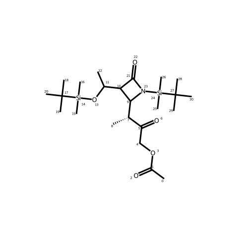 CC(=O)OCC(=O)[C@H](C)C1C(C(C)O[Si](C)(C)C(C)(C)C)C(=O)N1[Si](C)(C)C(C)(C)C